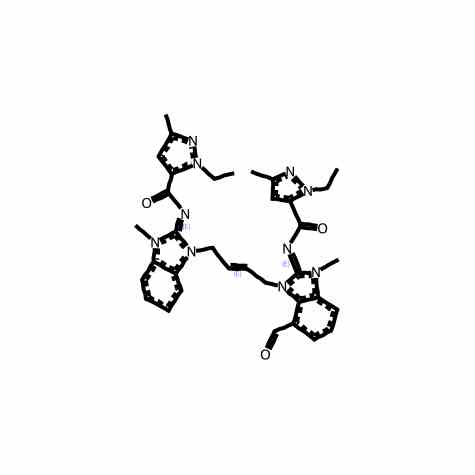 CCn1nc(C)cc1C(=O)/N=c1\n(C)c2ccccc2n1C/C=C/Cn1/c(=N/C(=O)c2cc(C)nn2CC)n(C)c2cccc(C=O)c21